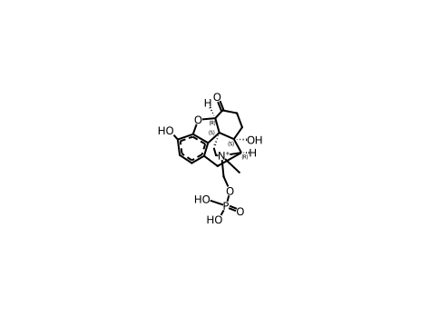 C[N+]1(COP(=O)(O)O)CC[C@]23c4c5ccc(O)c4O[C@H]2C(=O)CC[C@@]3(O)[C@H]1C5